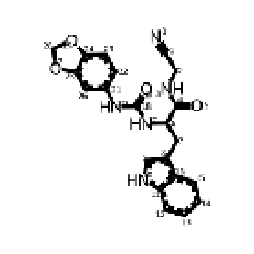 N#CCNC(=O)C(Cc1c[nH]c2ccccc12)NC(=O)Nc1ccc2c(c1)OCO2